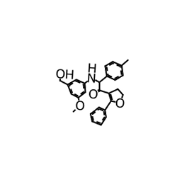 COc1cc(CO)cc(NC(C(=O)C2=C(c3ccccc3)OCC2)c2ccc(C)cc2)c1